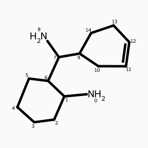 NC1CCCCC1C(N)C1CC=CCC1